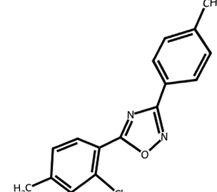 Cc1ccc(-c2noc(-c3ccc(C)cc3Cl)n2)cc1